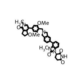 COc1cc(-c2cn(C)c(=O)c3c2CCC3)cc(OC)c1CN1Cc2ccc(-c3cccc4c3n(C)c(=O)n4C3CCC(=O)NC3=O)cc2C1